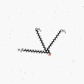 CCCCCCCCCCCCCCCCCCc1cc([C]=O)cc(CCCCCCCCCCCCCCCCCC)c1CCCCCCCCCCCCCCCCCC